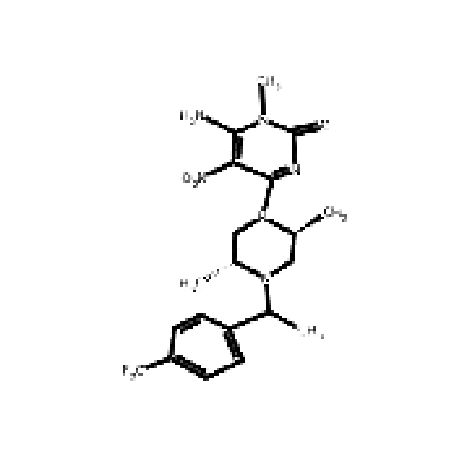 CC(c1ccc(C(F)(F)F)cc1)N1C[C@H](C)N(c2nc(=O)n(C)c(N)c2[N+](=O)[O-])C[C@H]1C